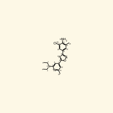 CCN(CC)c1cc(-c2nc(-c3cc(C)c(N)c(Cl)c3)no2)cc(C)n1